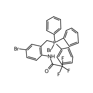 O=C(Nc1ccc(Br)cc1CP(Br)(c1ccccc1)(c1ccccc1)c1ccccc1)C(F)(F)F